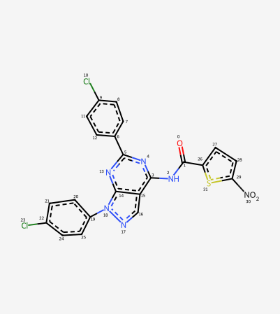 O=C(Nc1nc(-c2ccc(Cl)cc2)nc2c1cnn2-c1ccc(Cl)cc1)c1ccc([N+](=O)[O-])s1